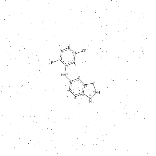 Fc1cnc(Cl)nc1Nc1ccc2c(c1)CNN2